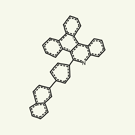 c1ccc2cc(-c3ccc(-c4nc5ccccc5c5c6ccccc6c6ccccc6c45)cc3)ccc2c1